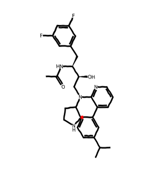 CC(=O)N[C@@H](Cc1cc(F)cc(F)c1)[C@@H](O)CN(c1ncccc1-c1cccc(C(C)C)c1)C1CCNC1